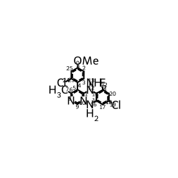 COc1ccc(-c2c(C)ncnc2N(N)c2c(N)cc(Cl)cc2F)c(Cl)c1